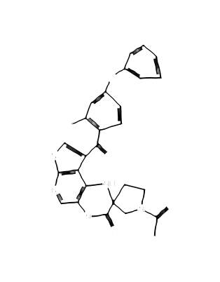 CC(=O)N1CCC2(C1)Nc1c(cnc3[nH]cc(C(=O)c4ccc(Oc5ccccc5)cc4Cl)c13)NC2=O